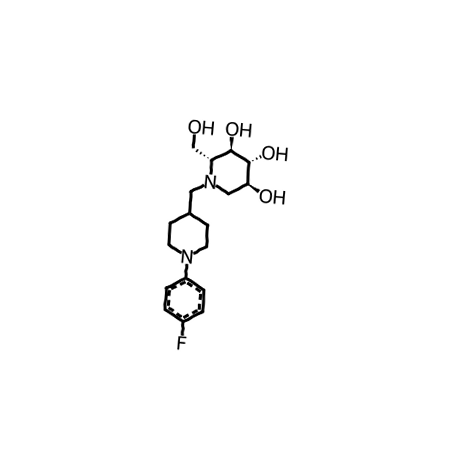 OC[C@@H]1[C@@H](O)[C@H](O)[C@@H](O)CN1CC1CCN(c2ccc(F)cc2)CC1